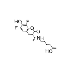 C=C(O)CCCCNC(=C)c1cc2cc(F)c(O)c(F)c2oc1=O